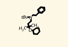 CC(C)(CCN(CCc1ccccc1)C(C)(C)C)OC1CCCCC1